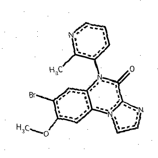 COc1cc2c(cc1Br)n(-c1cccnc1C)c(=O)c1nccn12